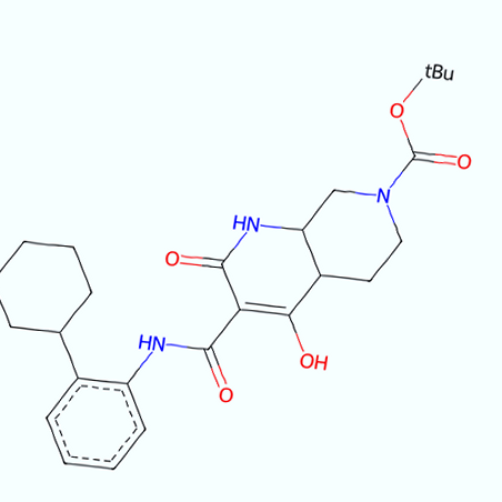 CC(C)(C)OC(=O)N1CCC2C(O)=C(C(=O)Nc3ccccc3C3CCCCC3)C(=O)NC2C1